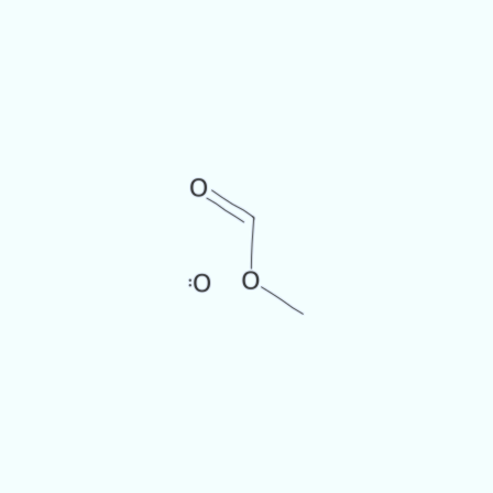 COC=O.[O]